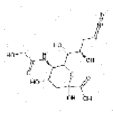 [N-]=[N+]=NC[C@@H](O)[C@@H](O)[C@@H]1OC(O)(C(=O)O)C[C@H](O)[C@H]1NC(=O)CO